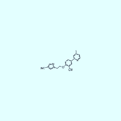 Cc1ccnc(-c2ccc(OCCn3cc(C#N)cn3)c(C#N)c2)c1